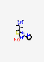 C=NN(C)/C(C)=C(\C)c1csc2c(O)nc(-c3ccccn3)nc12